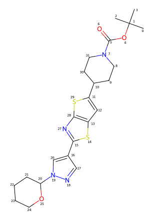 CC(C)(C)OC(=O)N1CCC(c2cc3sc(-c4cnn(C5CCCCO5)c4)nc3s2)CC1